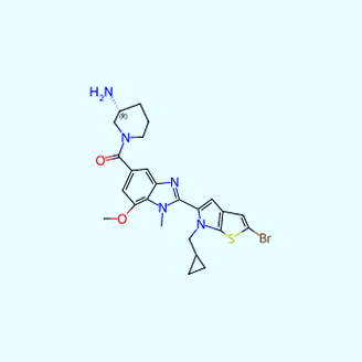 COc1cc(C(=O)N2CCC[C@@H](N)C2)cc2nc(-c3cc4cc(Br)sc4n3CC3CC3)n(C)c12